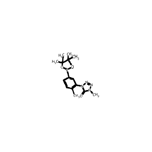 Cc1ccc(B2OC(C)(C)C(C)(C)O2)cc1-n1nnn(C)c1=O